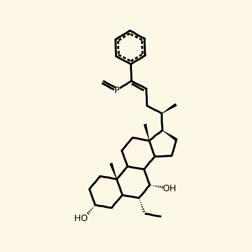 C=P/C(=C\C[C@@H](C)[C@H]1CCC2C3C(CC[C@@]21C)[C@@]1(C)CC[C@@H](O)CC1[C@@H](CC)[C@H]3O)c1ccccc1